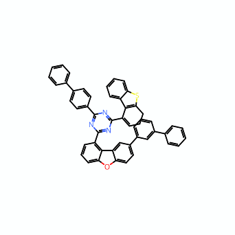 C1=C(c2nc(-c3ccc(-c4ccccc4)cc3)nc(-c3cccc4oc5ccc(-c6cccc(-c7ccccc7)c6)cc5c34)n2)c2c(sc3ccccc23)CC1